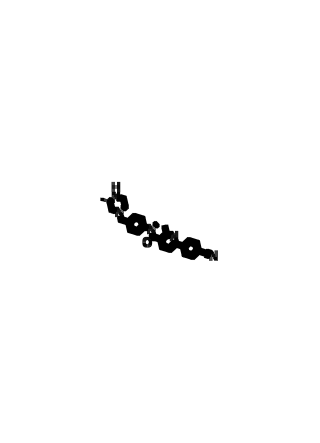 Cc1nc(-c2ccc(C#N)cc2)ccc1C(=O)N(C)c1ccc(CN2CCN[C@@H](C)C2)cc1